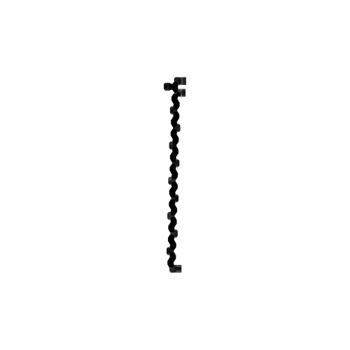 O=C(O)NCCOCCOCCOCCOCCOCCOCCOCCOCCOCCO